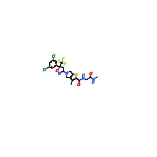 CNC(=O)CNC(=O)c1sc2c(c1C)CN(C1=NOC(c3cc(Cl)cc(Cl)c3)(C(F)(F)F)C1)C2